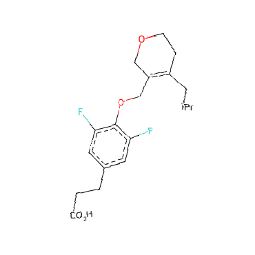 CC(C)CC1=C(COc2c(F)cc(CCC(=O)O)cc2F)COCC1